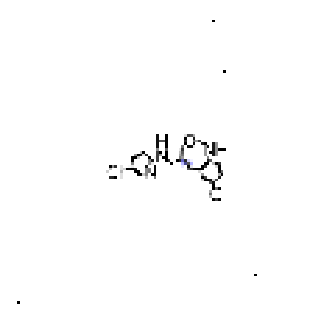 Clc1ccc(NC/C2=C/c3cc(Cl)ccc3NCOC2)nc1